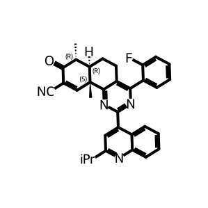 CC(C)c1cc(-c2nc(-c3ccccc3F)c3c(n2)[C@]2(C)C=C(C#N)C(=O)[C@H](C)[C@H]2CC3)c2ccccc2n1